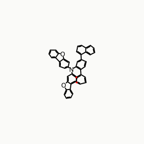 c1ccc(-c2ccc(-c3cccc4ccccc34)cc2N(c2ccc3c(c2)oc2ccccc23)c2ccc3c(c2)oc2ccccc23)cc1